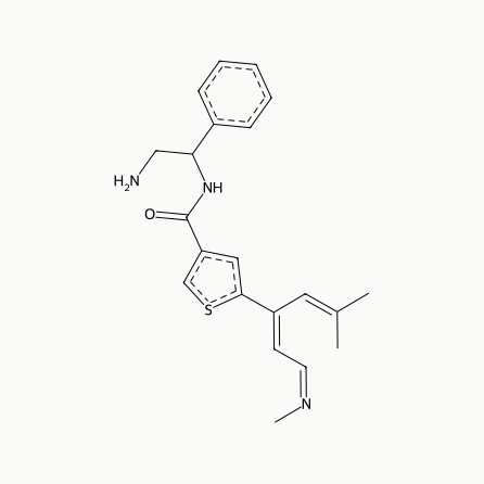 C/N=C\C=C(/C=C(C)C)c1cc(C(=O)NC(CN)c2ccccc2)cs1